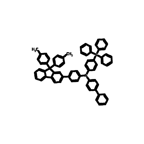 Cc1ccc(C2(c3ccc(C)cc3)c3ccccc3-c3ccc(-c4ccc(N(c5ccc(-c6ccccc6)cc5)c5ccc([Si](c6ccccc6)(c6ccccc6)c6ccccc6)cc5)cc4)cc32)cc1